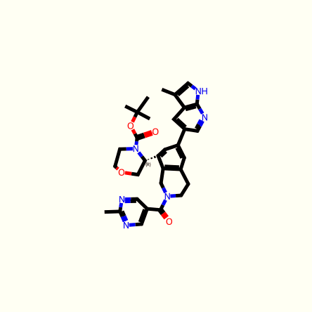 Cc1ncc(C(=O)N2CCc3cc(-c4cnc5[nH]cc(C)c5c4)cc([C@@H]4COCCN4C(=O)OC(C)(C)C)c3C2)cn1